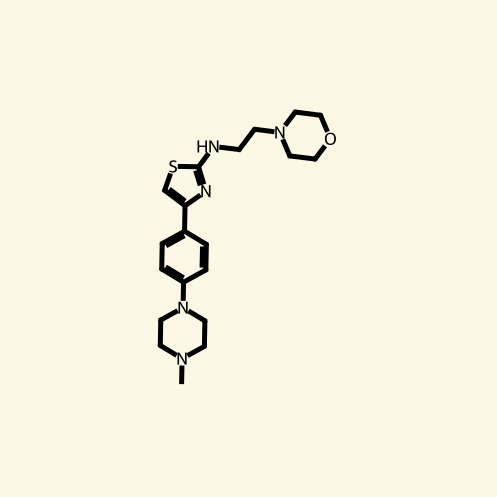 CN1CCN(c2ccc(-c3csc(NCCN4CCOCC4)n3)cc2)CC1